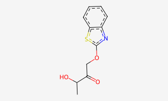 CC(O)C(=O)COc1nc2ccccc2s1